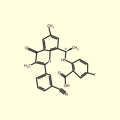 Cc1cc([C@@H](C)Nc2ccc(F)cc2C(=O)O)c2oc(-c3cccc(C#N)c3)c(C)c(=O)c2c1